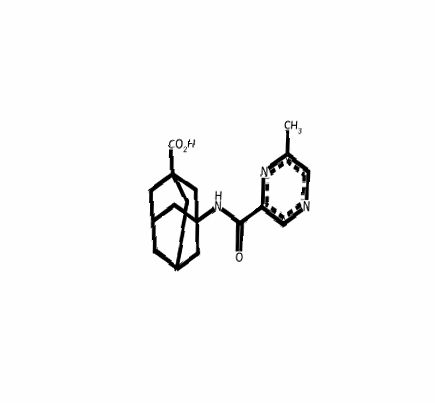 Cc1cncc(C(=O)NC23CC4CC(C2)CC(C(=O)O)(C4)C3)n1